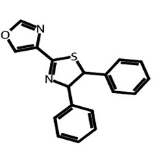 c1ccc(C2N=C(c3cocn3)SC2c2ccccc2)cc1